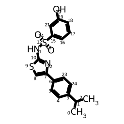 CC(C)c1ccc(-c2csc(NS(=O)(=O)c3cccc(O)c3)n2)cc1